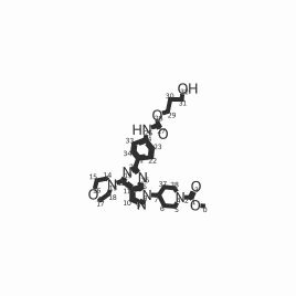 COC(=O)N1CCC(n2ncc3c(N4CCOCC4)nc(-c4ccc(NC(=O)OCCCO)cc4)nc32)CC1